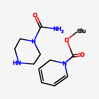 CC(C)(C)OC(=O)N1C=CC=CC1.NC(=O)N1CCNCC1